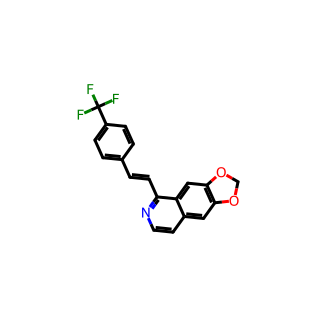 FC(F)(F)c1ccc(C=Cc2nccc3cc4c(cc23)OCO4)cc1